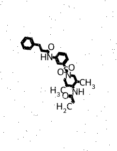 C=CC(=O)NC1C(C)CN(S(=O)(=O)c2cccc(NC(=O)CCc3ccccc3)c2)CC1C